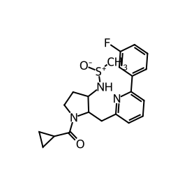 C[S+]([O-])NC1CCN(C(=O)C2CC2)C1Cc1cccc(-c2cccc(F)c2)n1